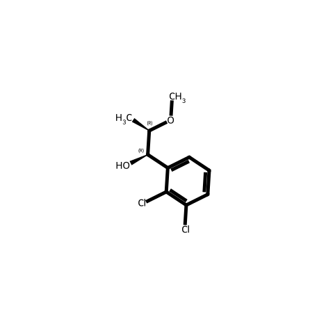 CO[C@H](C)[C@H](O)c1cccc(Cl)c1Cl